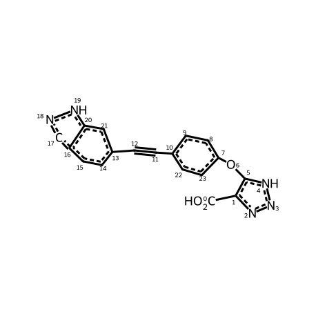 O=C(O)c1nn[nH]c1Oc1ccc(C#Cc2ccc3cn[nH]c3c2)cc1